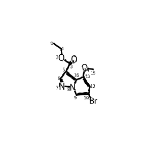 CCOC(=O)c1cnn2cc(Br)cc(OC)c12